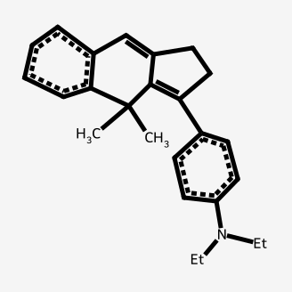 CCN(CC)c1ccc(C2=C3C(=Cc4ccccc4C3(C)C)CC2)cc1